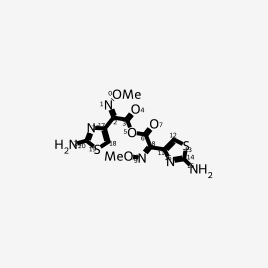 CO/N=C(\C(=O)OC(=O)/C(=N\OC)c1csc(N)n1)c1csc(N)n1